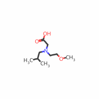 COCCN(CC(=O)O)CC(C)C